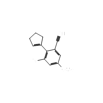 C#Cc1cc(OC)cc(Br)c1C1=CCCC1